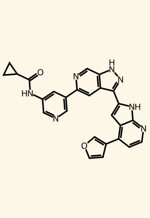 O=C(Nc1cncc(-c2cc3c(-c4cc5c(-c6ccoc6)ccnc5[nH]4)n[nH]c3cn2)c1)C1CC1